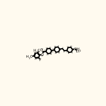 CC[SiH2]C1CCC(CCC2CCC(C3CCC(C(=O)Oc4c(C)cc(C)cc4F)CC3)CC2)CC1